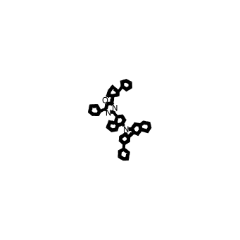 c1ccc(-c2ccc3oc4c(-c5ccccc5)nc(-c5ccc(-n6c7ccc(-c8ccccc8)cc7c7cc8ccccc8cc76)c6ccccc56)nc4c3c2)cc1